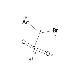 CC(=O)C(Br)S(C)(=O)=O